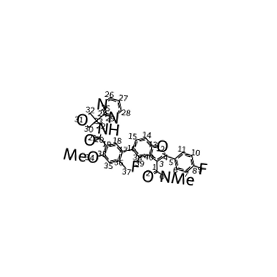 CNC(=O)c1c(-c2ccc(F)cc2)oc2ccc(-c3cc(C(=O)NC4(c5ncccn5)COC4)c(OC)cc3C)c(F)c12